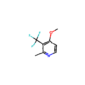 COc1ccnc(C)c1C(F)(F)F